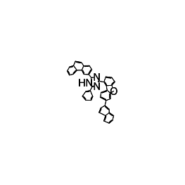 c1ccc(C2=NC(c3cccc4oc5cc(-c6ccc7ccccc7c6)ccc5c34)=NC(c3ccc4ccc5ccccc5c4c3)N2)cc1